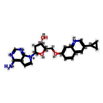 Nc1ncnc2c1ccn2[C@H]1C[C@H](O)[C@@H](COc2ccc3cc(C4CC4)cnc3c2)O1